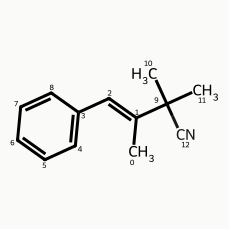 C/C(=C\c1ccccc1)C(C)(C)C#N